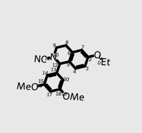 CCOc1ccc2c(c1)CCN(C#N)C2c1cc(OC)cc(OC)c1